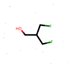 OC[C](CF)CF